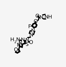 Nc1nc2c(sc(=O)n2CCN2CCN(c3ccc(OCC(=O)N4CCNCC4)cc3F)CC2)c2cc(-c3ccco3)nn12